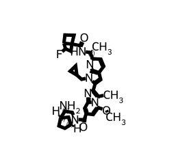 COc1cc(C(=O)N2C[C@H](N)[C@H]3CC[C@@H]2C3)cc2nc(-c3cc4ccc([C@@H](C)NC(=O)C56CCC5C(F)C6)nc4n3CC3CC3)c(C)n12